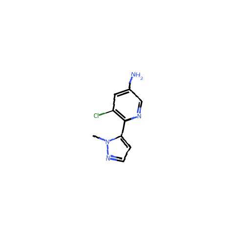 Cn1nccc1-c1ncc(N)cc1Cl